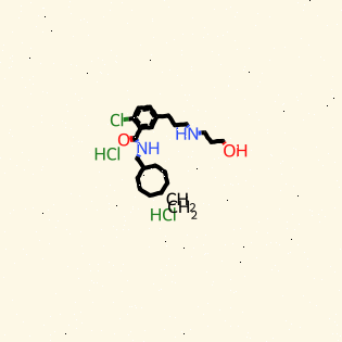 Cl.Cl.O=C(NC[C]1CCCCCCC1)c1cc(CCCNCCCO)ccc1Cl.[CH2].[CH2]